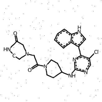 O=C1CN(CC(=O)N2CCC(Nc3ncc(Cl)c(-c4c[nH]c5ccccc45)n3)CC2)CCN1